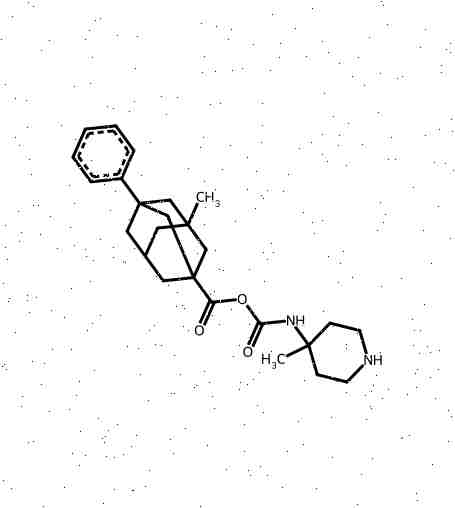 CC12CC3CC(C(=O)OC(=O)NC4(C)CCNCC4)(C1)CC(c1ccccc1)(C3)C2